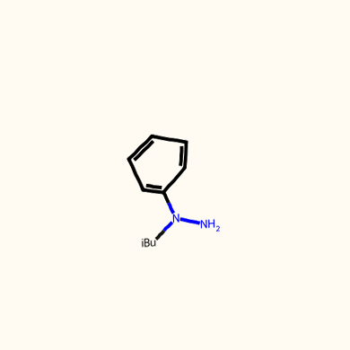 CCC(C)N(N)c1ccccc1